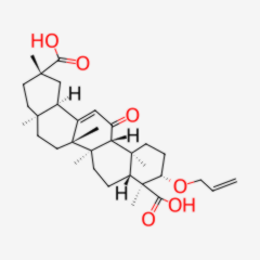 C=CCO[C@H]1CC[C@@]2(C)[C@@H](CC[C@]3(C)[C@@H]2C(=O)C=C2[C@@H]4C[C@@](C)(C(=O)O)CC[C@]4(C)CC[C@]23C)[C@]1(C)C(=O)O